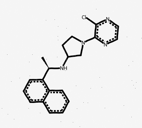 C[C@@H](NC1CCN(c2nccnc2Cl)C1)c1cccc2ccccc12